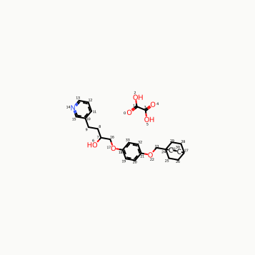 O=C(O)C(=O)O.OC(CCc1cccnc1)COc1ccc(OCC23CCC(CC2)CC3)cc1